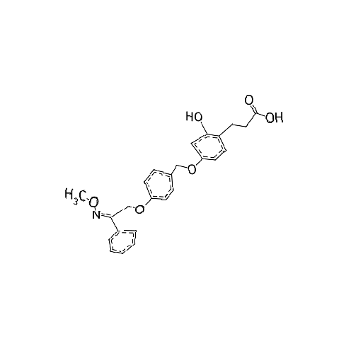 CO/N=C(\COc1ccc(COc2ccc(CCC(=O)O)c(O)c2)cc1)c1ccccc1